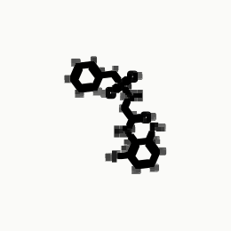 O=C(CNS(=O)(=O)Cc1ccccc1)Nc1c(F)cccc1F